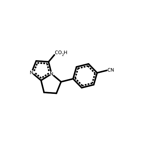 N#Cc1ccc(C2CCc3ncc(C(=O)O)n32)cc1